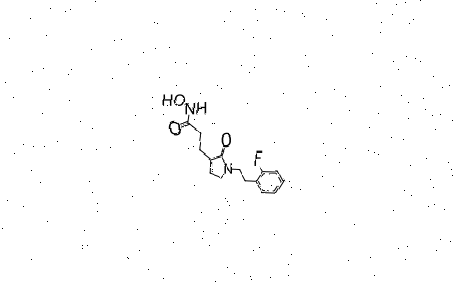 O=C(CCC1=CCN(CCc2ccccc2F)C1=O)NO